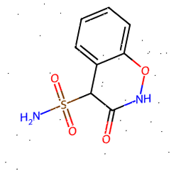 NS(=O)(=O)C1C(=O)NOc2ccccc21